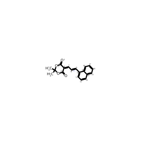 CC1(C)OC(=O)C(=C/C=C/c2cccc3ccccc23)C(=O)O1